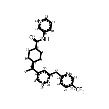 CC(=C1CCC(C(=O)Nc2cccnc2)CC1)c1cnnc(Cc2ccc(C(F)(F)F)cn2)c1